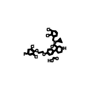 O=C(C1=C(c2ccc(OCCOc3c(Cl)cc(F)cc3Cl)cc2)CCNC1)N(Cc1cccc(Cl)c1Cl)C1CC1.O=CO